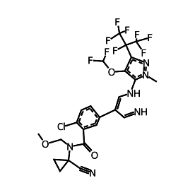 COCN(C(=O)c1cc(/C(C=N)=C/Nc2c(OC(F)F)c(C(F)(C(F)(F)F)C(F)(F)F)nn2C)ccc1Cl)C1(C#N)CC1